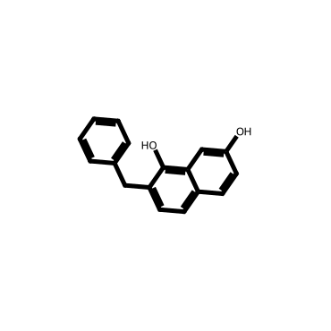 Oc1ccc2ccc(Cc3ccccc3)c(O)c2c1